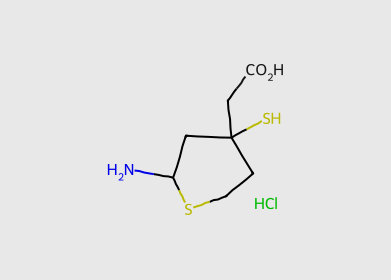 Cl.NC1CC(S)(CC(=O)O)CCS1